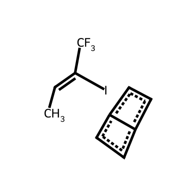 CC=C(I)C(F)(F)F.c1cc2ccc1-2